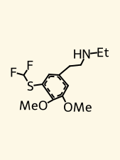 CCNCCc1cc(OC)c(OC)c(SC(F)F)c1